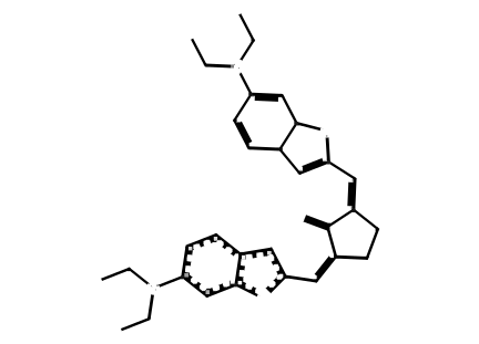 CCN(CC)C1=CC2OC(C=C3CCC(=Cc4cc5ccc(N(CC)CC)cc5o4)C3=O)=CC2C=C1